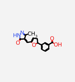 CC1=NNC(=O)/C1=C/C1=CCC(c2cccc(C(=O)O)c2)O1